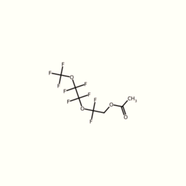 CC(=O)OCC(F)(F)OC(F)(F)C(F)(F)OC(F)(F)F